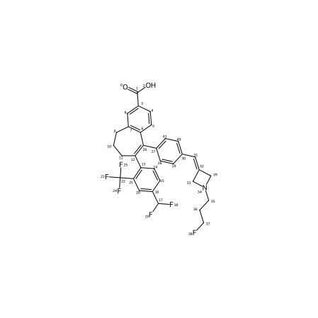 O=C(O)c1ccc2c(c1)CCCC(c1ccc(C(F)F)cc1C(F)(F)F)=C2c1ccc(C=C2CN(CCCF)C2)cc1